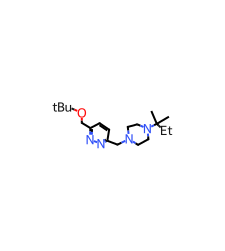 CCC(C)(C)N1CCN(Cc2ccc(COC(C)(C)C)nn2)CC1